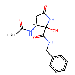 CCCCCCCCCC(=O)N[C@H]1CC(=O)NC1(O)C(=O)NCc1ccccc1